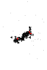 COCC(=O)O[C@]1(C(=O)SCC#N)CC[C@H]2[C@@H]3CCC4=Cc5c(cnn5-c5cccc(C(=O)N6CCC[C@@H]6C(N)=O)c5)C[C@]4(C)[C@@]3(F)[C@@H](O)C[C@@]21C